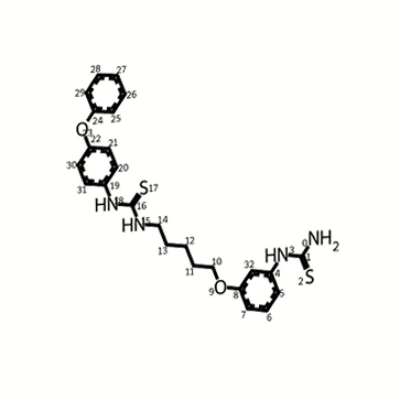 NC(=S)Nc1cccc(OCCCCCNC(=S)Nc2ccc(Oc3ccccc3)cc2)c1